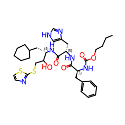 CCCCOC(=O)N[C@@H](Cc1ccccc1)C(=O)N[C@@H](Cc1c[nH]cn1)C(=O)N[C@@H](CC1CCCCC1)C(O)CSc1nccs1